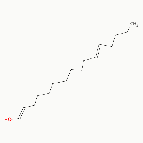 CCCCC=CCCCCCCCCC=CO